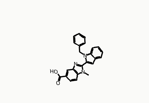 Cn1c(-c2cc3ccccc3n2Cc2ccccc2)nc2cc(C(=O)O)ccc21